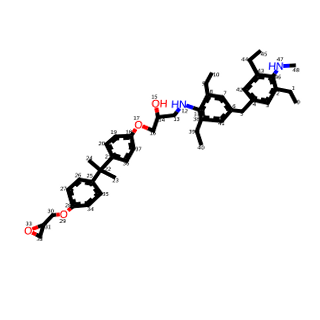 CCc1cc(Cc2cc(CC)c(NCC(O)COc3ccc(C(C)(C)c4ccc(OCC5CO5)cc4)cc3)c(CC)c2)cc(CC)c1NC